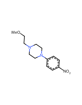 COCCN1CCN(c2ccc([N+](=O)[O-])cc2)CC1